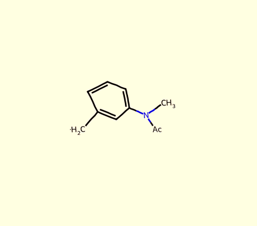 [CH2]c1cccc(N(C)C(C)=O)c1